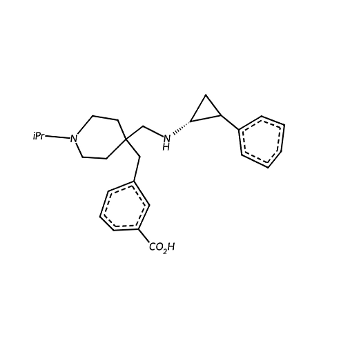 CC(C)N1CCC(CN[C@@H]2CC2c2ccccc2)(Cc2cccc(C(=O)O)c2)CC1